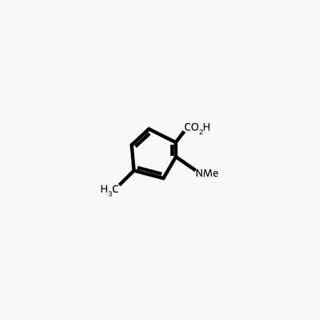 CNc1cc(C)ccc1C(=O)O